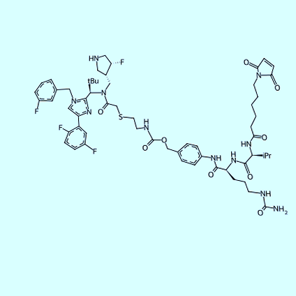 CC(C)[C@H](NC(=O)CCCCCN1C(=O)C=CC1=O)C(=O)N[C@@H](CCCNC(N)=O)C(=O)Nc1ccc(COC(=O)NCCSCC(=O)N(C[C@@H]2CNC[C@@H]2F)[C@@H](c2nc(-c3cc(F)ccc3F)cn2Cc2cccc(F)c2)C(C)(C)C)cc1